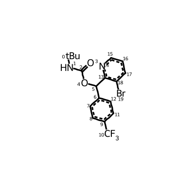 CC(C)(C)NC(=O)OC(c1ccc(C(F)(F)F)cc1)c1ncccc1Br